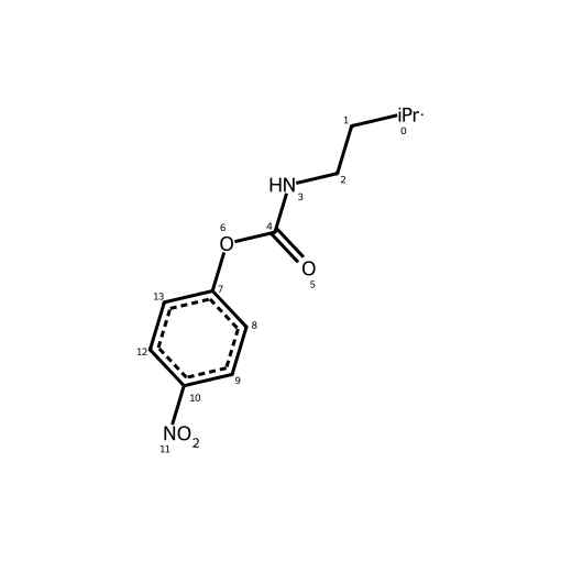 C[C](C)CCNC(=O)Oc1ccc([N+](=O)[O-])cc1